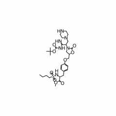 CCCCS(=O)(=O)NC(Cc1ccc(OCC2CN(C(CN3CCNCC3)C(=N)NC(=O)OC(C)(C)C)C(=O)O2)cc1)C(=O)OC